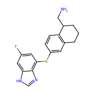 NCC1CCCc2cc(Sc3cc(F)cc4[nH]cnc34)ccc21